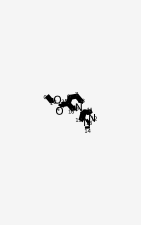 CCOC(=O)C1CCCN(c2cnn(C)c2)C1